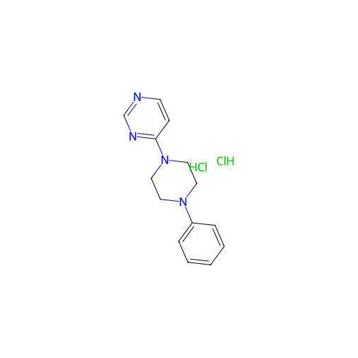 Cl.Cl.c1ccc(N2CCN(c3ccncn3)CC2)cc1